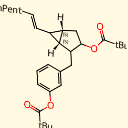 CCCCCC=CC1[C@H]2C(Cc3cccc(OC(=O)C(C)(C)C)c3)C(OC(=O)C(C)(C)C)C[C@@H]12